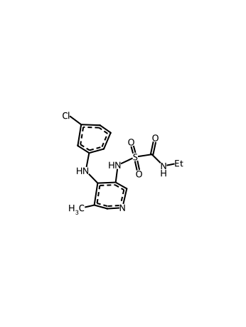 CCNC(=O)S(=O)(=O)Nc1cncc(C)c1Nc1cccc(Cl)c1